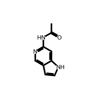 CC(=O)Nc1cc2[nH]ccc2cn1